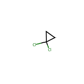 ClC1(Cl)[CH]C1